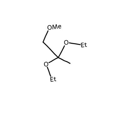 CCOC(C)(COC)OCC